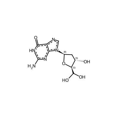 Nc1nc2c(ncn2[C@H]2C[C@H](O)[C@@H](C(O)O)O2)c(=O)[nH]1